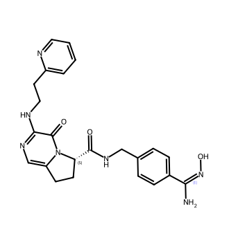 N/C(=N/O)c1ccc(CNC(=O)[C@@H]2CCc3cnc(NCCc4ccccn4)c(=O)n32)cc1